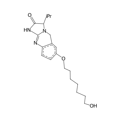 CC(C)C1C(=O)NC2=Nc3ccc(OCCCCCCCO)cc3CN21